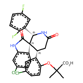 CC(C)(Oc1ccc(Cl)cc1[C@H]1CC(=O)N[C@@H](c2cc(F)ccc2F)[C@]12C(=O)Nc1cc(Cl)ccc12)C(=O)O